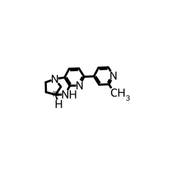 Cc1cc(-c2ccc3c(n2)N[C@@H]2CCN3C2)ccn1